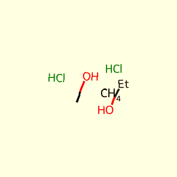 C.CCO.CO.Cl.Cl